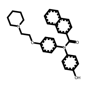 O=C(c1ccc2ccccc2c1)N(c1ccc(O)cc1)c1ccc(OCCN2CCCCC2)cc1